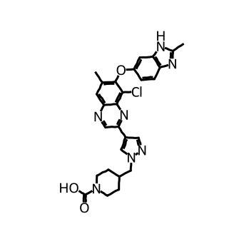 Cc1nc2ccc(Oc3c(C)cc4ncc(-c5cnn(CC6CCN(C(=O)O)CC6)c5)nc4c3Cl)cc2[nH]1